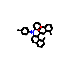 Cc1ccc(N(c2ccccc2)c2ccc3cccc(C)c3c2-c2ccc3cccc(C)c3c2)cc1